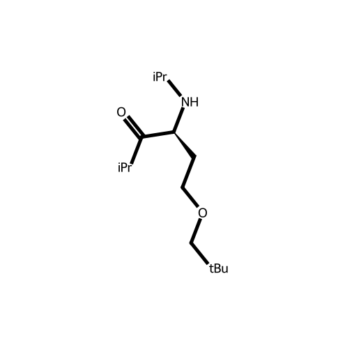 CC(C)N[C@@H](CCOCC(C)(C)C)C(=O)C(C)C